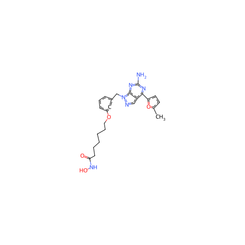 Cc1ccc(-c2nc(N)nc3c2cnn3Cc2cccc(OCCCCCCC(=O)NO)c2)o1